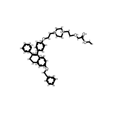 CCOC(=O)COCCN1CCN(CCOc2ccc(C3=C(c4ccccc4)CCc4cc(OCc5ccccc5)ccc43)cc2)CC1